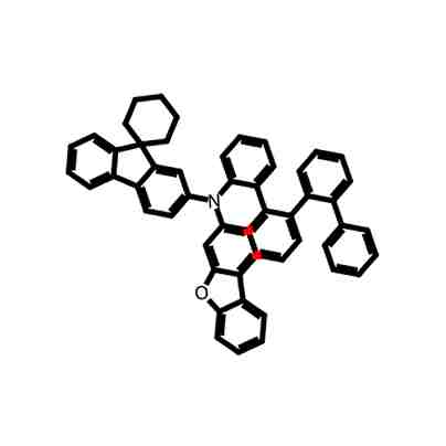 c1ccc(-c2ccccc2-c2ccccc2-c2ccccc2N(c2ccc3c(c2)C2(CCCCC2)c2ccccc2-3)c2ccc3c(c2)oc2ccccc23)cc1